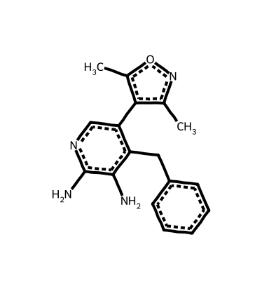 Cc1noc(C)c1-c1cnc(N)c(N)c1Cc1ccccc1